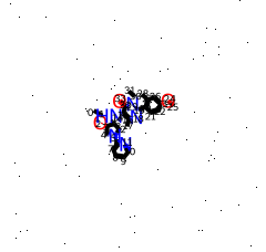 CCO[C@H]1CN(c2ccccn2)C[C@H]1Nc1c(C)nc(-c2ccc(OC)cc2C)n(CC)c1=O